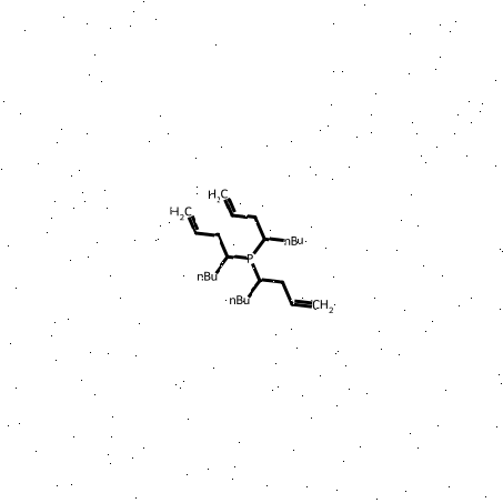 C=CCC(CCCC)P(C(CC=C)CCCC)C(CC=C)CCCC